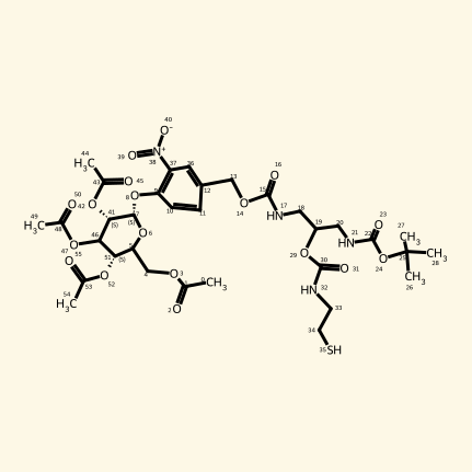 CC(=O)OCC1O[C@@H](Oc2ccc(COC(=O)NCC(CNC(=O)OC(C)(C)C)OC(=O)NCCS)cc2[N+](=O)[O-])[C@@H](OC(C)=O)C(OC(C)=O)[C@H]1OC(C)=O